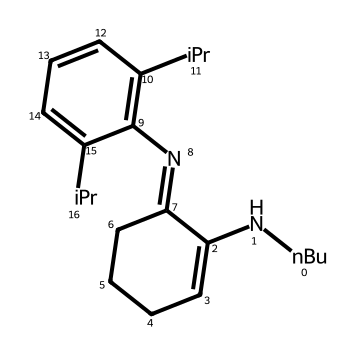 CCCCNC1=CCCCC1=Nc1c(C(C)C)cccc1C(C)C